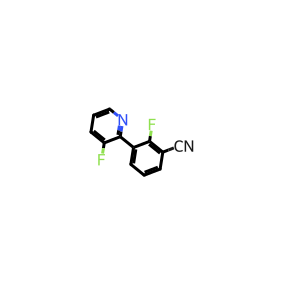 N#Cc1cccc(-c2ncccc2F)c1F